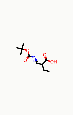 CCC(/C=N/C(=O)OC(C)(C)C)C(=O)O